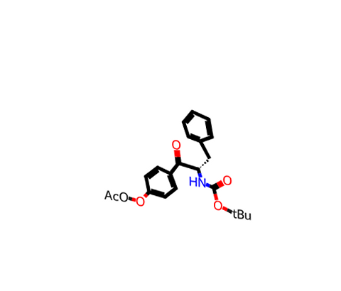 CC(=O)OOc1ccc(C(=O)[C@H](Cc2ccccc2)NC(=O)OC(C)(C)C)cc1